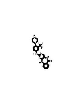 CN1CCN(c2ccc(Nc3ncc4c(n3)N(C)c3ccccc3C(=O)N4C)cc2C(F)(F)F)CC1